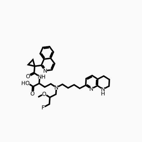 COC(CF)CN(CCCCc1ccc2c(n1)NCCC2)CCC(NC(=O)C1(c2nccc3ccccc23)CC1)C(=O)O